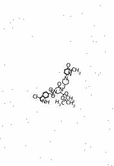 Cn1nc(N2CCC(CN3C(=O)CN(S(=O)(=O)c4ccc5c(Cl)c[nH]c5c4)CC3C(=O)OC(C)(C)C)CC2)ccc1=O